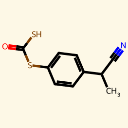 CC(C#N)c1ccc(SC(=O)S)cc1